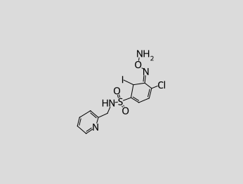 NO/N=C1/C(Cl)=CC=C(S(=O)(=O)NCc2ccccn2)C1I